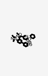 Cc1cn(-c2ccc(-c3cccc(S(C)(=O)=O)c3)cc2-c2nc(C)oc2-c2ccc(OC3CCCCC3)nc2)c(C)n1